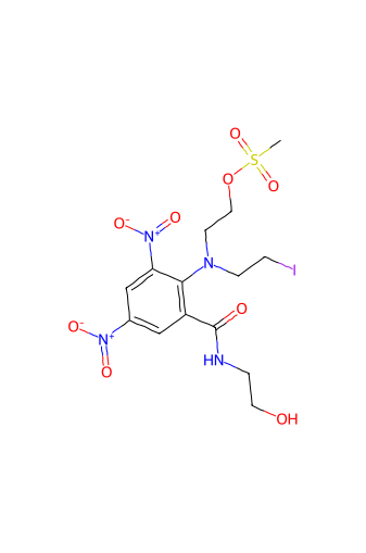 CS(=O)(=O)OCCN(CCI)c1c(C(=O)NCCO)cc([N+](=O)[O-])cc1[N+](=O)[O-]